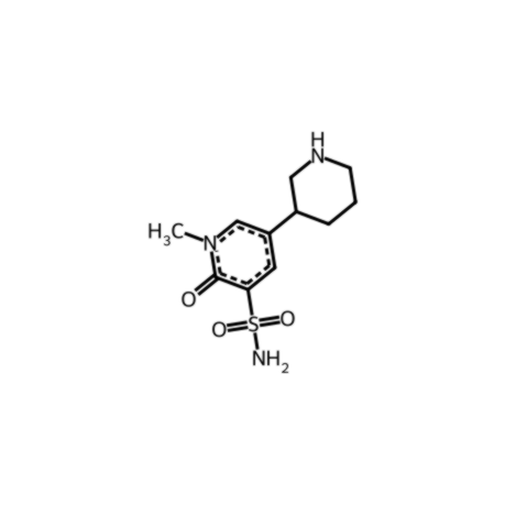 Cn1cc(C2CCCNC2)cc(S(N)(=O)=O)c1=O